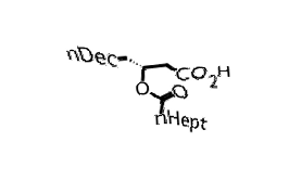 CCCCCCCCCCC[C@H](CC(=O)O)OC(=O)CCCCCCC